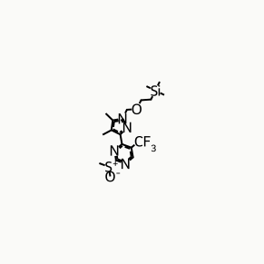 Cc1c(-c2nc([S+](C)[O-])ncc2C(F)(F)F)nn(COCC[Si](C)(C)C)c1C